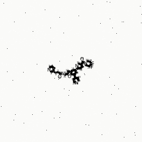 O=C(CCc1cccnc1)NCc1cc2cc(-c3ccc(C(=O)N4CCC(F)(F)CC4)cn3)cc(-c3ccncc3)c2o1